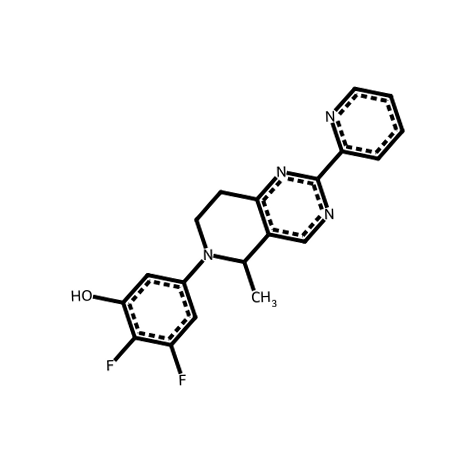 CC1c2cnc(-c3ccccn3)nc2CCN1c1cc(O)c(F)c(F)c1